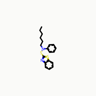 CCCCCCN(Sc1nc2ccccc2s1)c1ccccc1